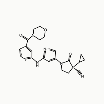 N#C[C@@]1(C2CC2)CCN(c2ccnc(Nc3cc(C(=O)N4CCOCC4)ccn3)c2)C1=O